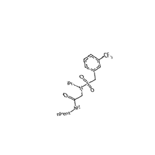 CCCCCNC(=O)CN(C(C)C)S(=O)(=O)Cc1cccc(C(F)(F)F)c1